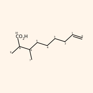 C=CCCCCC(C)C(C)C(=O)O